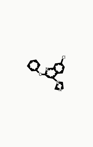 Clc1ccc2c(-n3ccnc3)cc(Oc3ccccc3)nc2c1